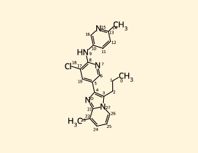 CCCc1c(-c2cnc(Nc3ccc(C)nc3)c(Cl)c2)nc2c(C)cccn12